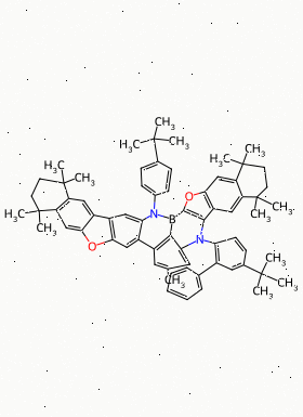 Cc1cc2c3c(c1)N(c1ccc(C(C)(C)C)cc1-c1ccccc1)c1c(oc4cc5c(cc14)C(C)(C)CCC5(C)C)B3N(c1ccc(C(C)(C)C)cc1)c1cc3c(cc1-2)oc1cc2c(cc13)C(C)(C)CCC2(C)C